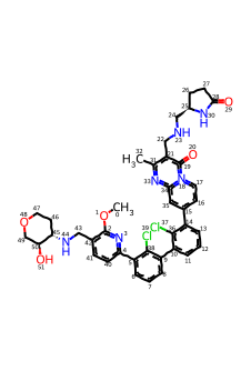 COc1nc(-c2cccc(-c3cccc(-c4ccn5c(=O)c(CNC[C@H]6CCC(=O)N6)c(C)nc5c4)c3Cl)c2Cl)ccc1CN[C@H]1CCOC[C@@H]1O